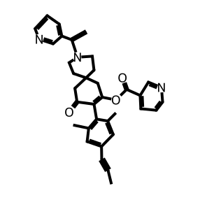 C=C(c1cccnc1)N1CCC2(CC1)CC(=O)C(c1c(C)cc(C#CC)cc1C)=C(OC(=O)c1cccnc1)C2